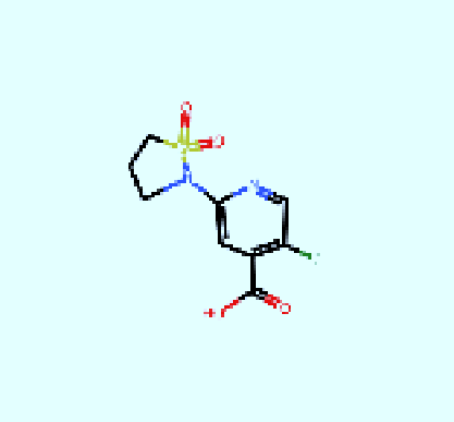 O=C(O)c1cc(N2CCCS2(=O)=O)ncc1Cl